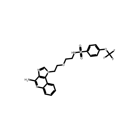 Nc1nc2ccccc2c2c1ncn2CCOCCNS(=O)(=O)c1ccc(OC(F)(F)F)cc1